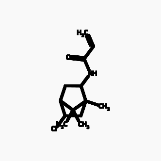 C=CC(=O)NC1CC2C(Cl)CC1(C)C2(C)C